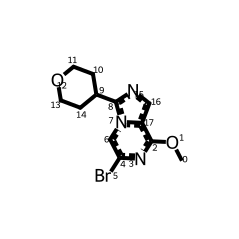 COc1nc(Br)cn2c(C3CCOCC3)ncc12